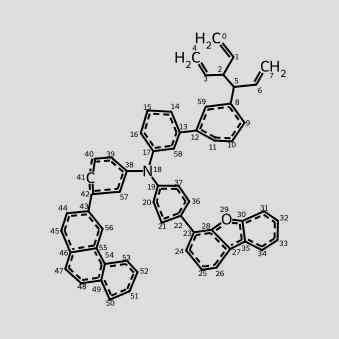 C=CC(C=C)C(C=C)c1cccc(-c2cccc(N(c3ccc(-c4cccc5c4oc4ccccc45)cc3)c3cccc(-c4ccc5ccc6ccccc6c5c4)c3)c2)c1